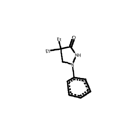 CCC1(CC)CN(c2ccccc2)NC1=O